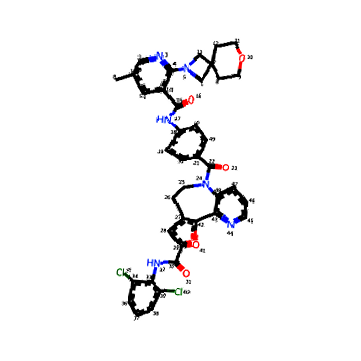 Cc1cnc(N2CC3(CCOCC3)C2)c(C(=O)Nc2ccc(C(=O)N3CCc4cc(C(=O)Nc5c(Cl)cccc5Cl)oc4-c4ncccc43)cc2)c1